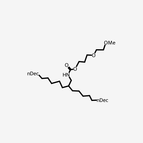 CCCCCCCCCCCCCCCC(CCCCCCCCCCCCCCC)CNC(=O)OCCCOCCOC